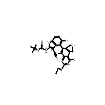 CCSc1nc(Cl)c2c3c(c(-c4c(F)ccc5sc(NC(=O)OC(C)(C)C)c(C#N)c45)c(F)c2n1)COC3